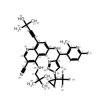 Cc1nc(F)ccc1C(Nc1cc(C#CC(C)(C)O)c2ncc(C#N)c(NCC(C)(C)C)c2c1)c1cn(C2(C(F)(F)F)CC2)nn1